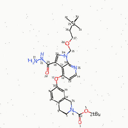 CC(C)(C)OC(=O)N1CCc2ccc(Oc3ccnc4c3c(C(=O)NN)cn4COCC[Si](C)(C)C)cc2C1